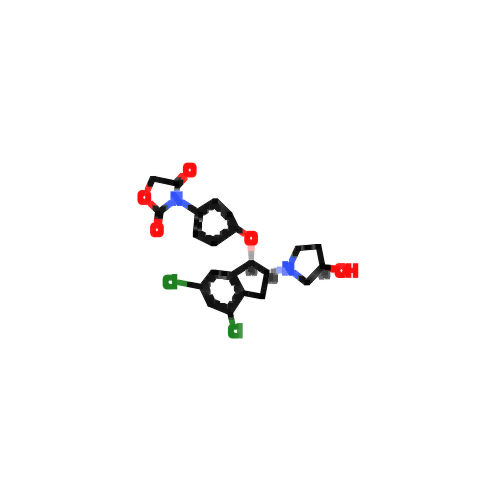 O=C1COC(=O)N1c1ccc(O[C@H]2c3cc(Cl)cc(Cl)c3C[C@H]2N2CC[C@@H](O)C2)cc1